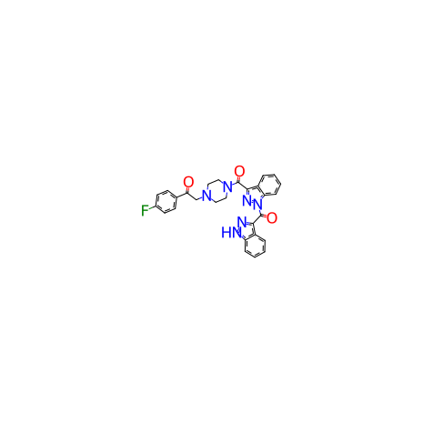 O=C(CN1CCN(C(=O)c2nn(C(=O)c3n[nH]c4ccccc34)c3ccccc23)CC1)c1ccc(F)cc1